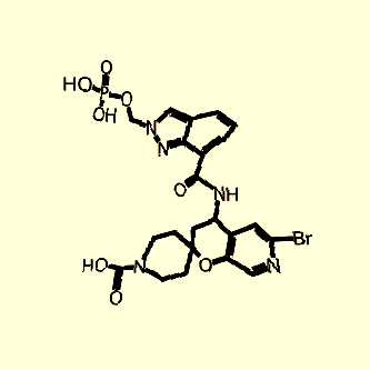 O=C(NC1CC2(CCN(C(=O)O)CC2)Oc2cnc(Br)cc21)c1cccc2cn(COP(=O)(O)O)nc12